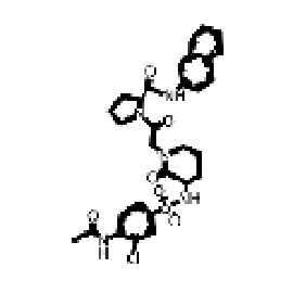 CC(=O)Nc1ccc(S(=O)(=O)N[C@H]2CCCN(CC(=O)N3CCC[C@H]3C(=O)Nc3ccc4ccccc4c3)C2=O)cc1Cl